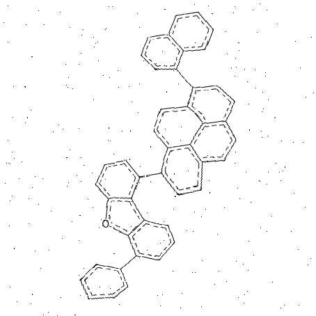 c1ccc(-c2cccc3c2oc2cccc(-c4ccc5ccc6ccc(-c7cccc8ccccc78)c7ccc4c5c67)c23)cc1